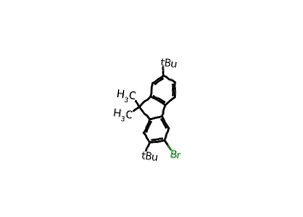 CC(C)(C)c1ccc2c(c1)C(C)(C)c1cc(C(C)(C)C)c(Br)cc1-2